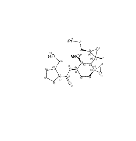 CO[C@H]1C([C@@]2(C)O[C@@H]2CCC(C)C)[C@]2(CC[C@H]1OC(=O)N1CCCC1CO)CO2